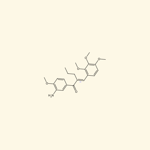 CCC/C(=C\c1ccc(OC)c(OC)c1OC)C(=O)c1ccc(OC)c(N)c1